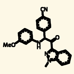 COc1cccc(NC(C(=O)c2nn(C)c3ccccc23)c2ccc(C#N)cc2)c1